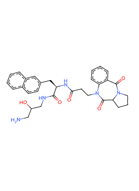 NCC(O)CNC(=O)[C@@H](Cc1ccc2ccccc2c1)NC(=O)CCN1C(=O)C2CCCN2C(=O)c2ccccc21